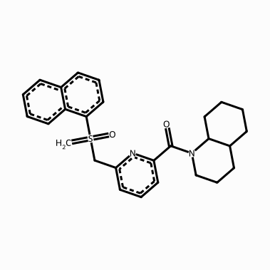 C=S(=O)(Cc1cccc(C(=O)N2CCCC3CCCCC32)n1)c1cccc2ccccc12